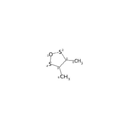 CC1SOSC1C